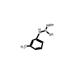 CNN(S)Nc1cccc(C)c1